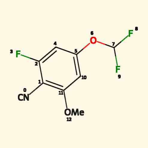 [C-]#[N+]c1c(F)cc(OC(F)F)cc1OC